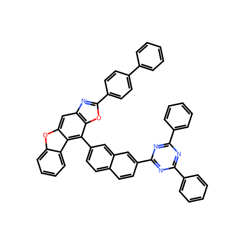 c1ccc(-c2ccc(-c3nc4cc5oc6ccccc6c5c(-c5ccc6ccc(-c7nc(-c8ccccc8)nc(-c8ccccc8)n7)cc6c5)c4o3)cc2)cc1